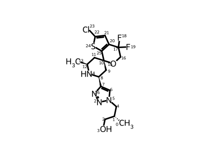 C[C@H](CO)Cn1cc([C@@H]2C[C@]3(C[C@H](C)N2)OCC(F)(F)c2cc(Cl)sc23)nn1